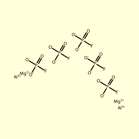 O=P([O-])([O-])F.O=P([O-])([O-])F.O=P([O-])([O-])F.O=P([O-])([O-])F.O=P([O-])([O-])F.[Al+3].[Al+3].[Mg+2].[Mg+2]